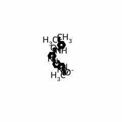 CC(C)c1cccc(NC(=O)c2ccnc(N3CCc4nc([S+](C)[O-])ncc4C3)c2)c1